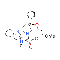 COCCCOC(c1ccccc1)[C@@H]1CCCN(c2c(N(C)[C@H](CN)CC3CCCCC3)c(=O)c2=O)C1